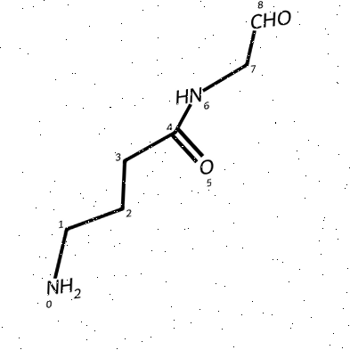 NCCCC(=O)NCC=O